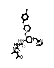 CC(=O)c1sc(NC(=O)N[C@@H]2CCN(Cc3nccs3)C[C@H]2CN2CCC[C@@H](Cc3ccc(F)cc3)C2)nc1C